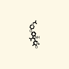 Cc1cc(-c2[nH]c3ccc(OC4CCN(CC(C)C)CC4)cc3c2C(C)C)cn(C)c1=O